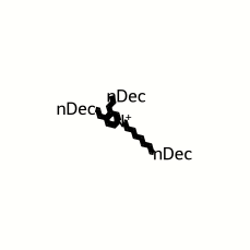 CCCCCCCCCCCCCCCCCC[n+]1ccc(CCCCCCCCCCCC)c(CCCCCCCCCCCC)c1